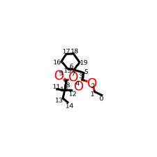 CCOC(=O)CC1(OC(=O)C(C)(C)CC)CCCCC1